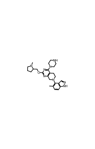 Cc1ccc2[nH]ncc2c1N1CCc2c(nc(OCC3CCCN3C)nc2N2CCNCC2)C1